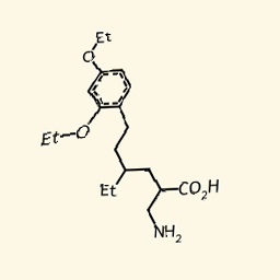 CCOc1ccc(CCC(CC)CC(CN)C(=O)O)c(OCC)c1